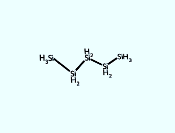 [SiH3][SiH2][SiH2][SiH2][SiH3]